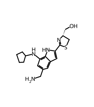 NCc1cc(NC2CCCC2)c2[nH]c(C3=N[C@H](CO)CS3)cc2c1